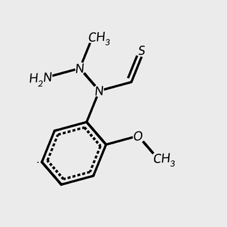 COc1cc[c]cc1N(C=S)N(C)N